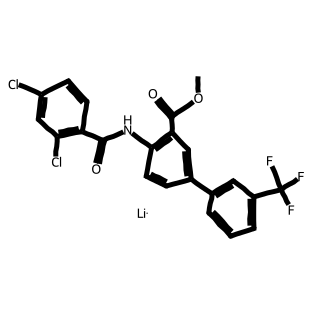 COC(=O)c1cc(-c2cccc(C(F)(F)F)c2)ccc1NC(=O)c1ccc(Cl)cc1Cl.[Li]